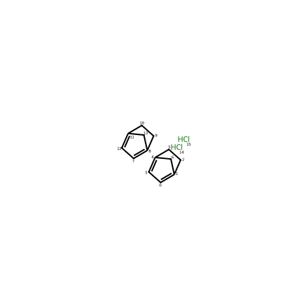 C1=C2CCC(=C1)C2.C1=C2CCC(=C1)C2.Cl.Cl